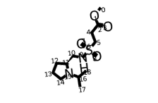 COC(=O)CCS(=O)(=O)NC[C@@H]1CCCN1C(C)C